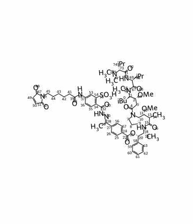 CC[C@H](C)[C@H]([C@@H](CC(=O)N1CCC[C@H]1[C@H](OC)[C@@H](C)C(=O)N[C@H](C)[C@@H](OC(=O)c1ccc(C(C)=NNC(=O)c2ccc(NC(=O)CCCCCN3C(=O)C=CC3=O)cc2S(=O)(=O)O)cc1)c1ccccc1)OC)N(C)C(=O)[C@@H](NC(=O)[C@@H](C(C)C)N(C)C)C(C)C